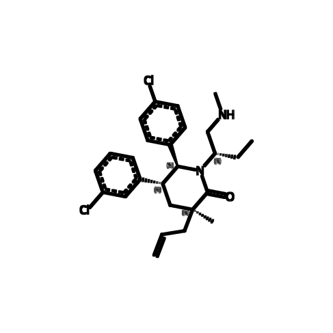 C=CC[C@@]1(C)C[C@H](c2cccc(Cl)c2)[C@@H](c2ccc(Cl)cc2)N([C@@H](CC)CNC)C1=O